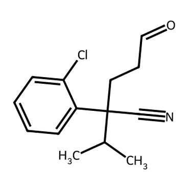 CC(C)C(C#N)(CCC=O)c1ccccc1Cl